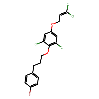 ClC(Cl)=CCOc1cc(Cl)c(OCCCc2ccc(Br)cc2)c(Cl)c1